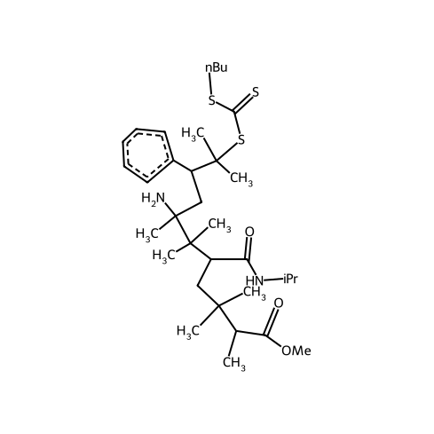 CCCCSC(=S)SC(C)(C)C(CC(C)(N)C(C)(C)C(CC(C)(C)C(C)C(=O)OC)C(=O)NC(C)C)c1ccccc1